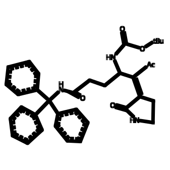 CC(=O)C(=C1CCNC1=O)C(CCC(=O)NC(c1ccccc1)(c1ccccc1)c1ccccc1)NC(=O)OC(C)(C)C